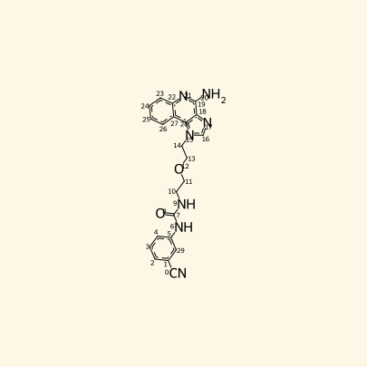 N#Cc1cccc(NC(=O)NCCOCCn2cnc3c(N)nc4ccccc4c32)c1